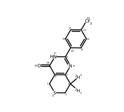 [2H]C1([2H])CSCc2c1nc(-c1ccc(C(F)(F)F)cc1)[nH]c2=O